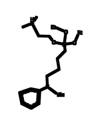 CCO[Si](CCCCN(c1ccccc1)C(C)(C)C)(OCC)OCC[SiH](C)C